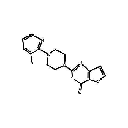 Cc1cccnc1N1CCN(c2nc3ccsc3c(=O)s2)CC1